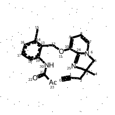 C#CCC1(C)CN2C=CC=C(OCc3c(C)cccc3NC(=O)C(C)=O)C2=N1